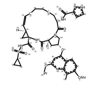 COc1ccc2c(O[C@@H]3C[C@H]4C(=O)N[C@]5(C(=O)NS(=O)(=O)C6CC6)C[C@H]5/C=C\CCCCC[C@H](NC(=O)c5cc[nH]n5)C(=O)N4C3)cc(OC(C)C)nc2c1C